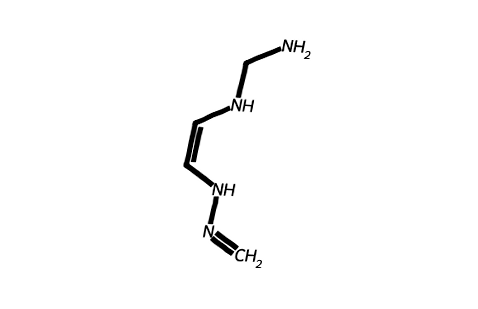 C=NN/C=C\NCN